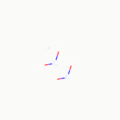 [O-]N[O-].[O-]N[O-].[Pt+4]